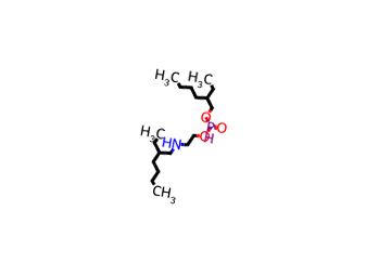 CCCCC(CC)CNCCO[PH](=O)OCC(CC)CCCC